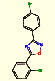 Brc1ccc(-c2noc(-c3ccccc3Br)n2)cc1